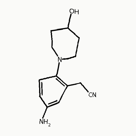 N#CCc1cc(N)ccc1N1CCC(O)CC1